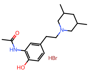 Br.CC(=O)Nc1cc(CCN2CC(C)CC(C)C2)ccc1O